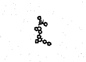 C[C@@H]1c2cc(C3=CC4=C(CC3)CC[C@@H](Cc3cc(C5=CCCC=C5)nc(-c5ccccc5)c3)c3ccccc34)ccc2-c2ccccc2CC1C1=CC=C(c2ccccc2)CC1